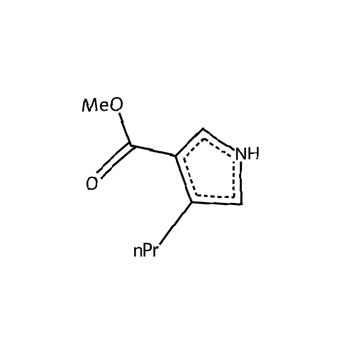 CCCc1c[nH]cc1C(=O)OC